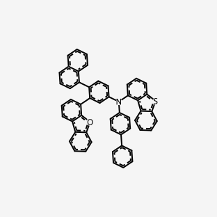 c1ccc(-c2ccc(N(c3ccc(-c4cccc5ccccc45)c(-c4cccc5c4oc4ccccc45)c3)c3cccc4sc5ccccc5c34)cc2)cc1